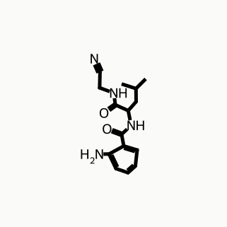 CC(C)CC(NC(=O)c1ccccc1N)C(=O)NCC#N